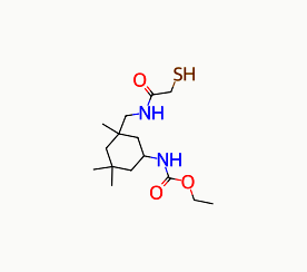 CCOC(=O)NC1CC(C)(C)CC(C)(CNC(=O)CS)C1